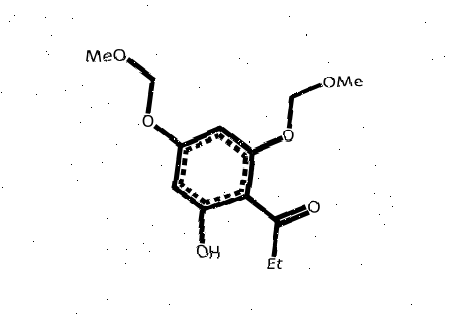 CCC(=O)c1c(O)cc(OCOC)cc1OCOC